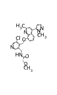 COCC(=O)NCc1cncc(Cl)c1COc1cccc2c(-c3ccnn3C)cc(C)nc12